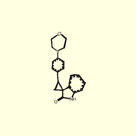 O=C1Nc2ccccc2C12CC2c1ccc(N2CCOCC2)cc1